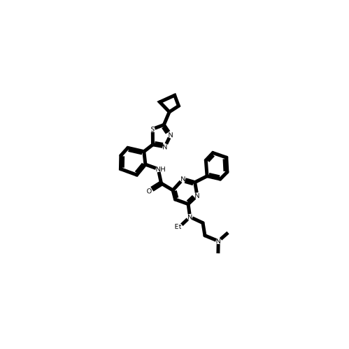 CCN(CCN(C)C)c1cc(C(=O)Nc2ccccc2-c2nnc(C3CCC3)s2)nc(-c2ccccc2)n1